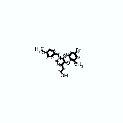 COc1ccc(Cn2cnc(CCO)c(Oc3c(C)cc(Br)cc3Cl)c2=O)cc1